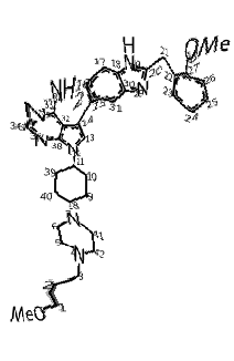 COCCCN1CCN([C@H]2CC[C@H](n3cc(-c4ccc5[nH]c(Cc6ccccc6OC)nc5c4)c4c(N)ncnc43)CC2)CC1